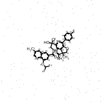 Cc1cnc2c(OC(F)F)cc(C(=O)NCC(O)(c3cc4c(c(-c5ccc(F)cc5)n3)OCC4(C)C(N)=O)C(F)(F)F)cc2c1